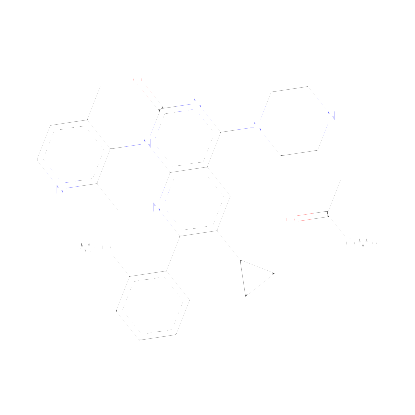 COC(=O)C[C@@H]1CN(c2nc(=O)n(-c3c(C)ccnc3C(C)C)c3nc(-c4ccccc4OC)c(C4CC4)cc23)CCN1